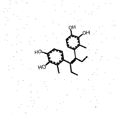 CCC(=C(CC)c1ccc(O)c(O)c1C)c1ccc(O)c(O)c1C